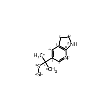 CC(C)(SS)c1cnc2c(c1)CCN2